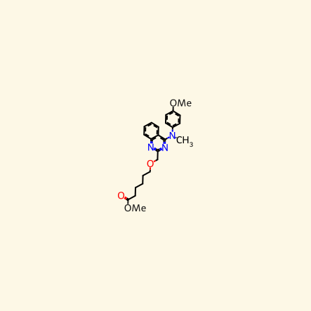 COC(=O)CCCCCOCc1nc(N(C)c2ccc(OC)cc2)c2ccccc2n1